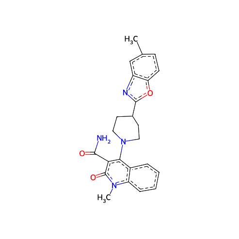 Cc1ccc2oc(C3CCN(c4c(C(N)=O)c(=O)n(C)c5ccccc45)CC3)nc2c1